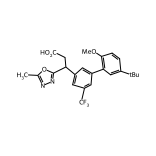 COc1ccc(C(C)(C)C)cc1-c1cc(C(CC(=O)O)c2nnc(C)o2)cc(C(F)(F)F)c1